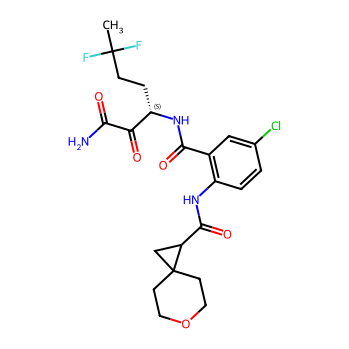 CC(F)(F)CC[C@H](NC(=O)c1cc(Cl)ccc1NC(=O)C1CC12CCOCC2)C(=O)C(N)=O